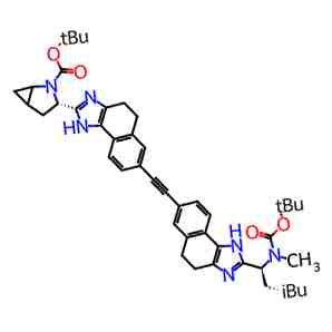 CC[C@@H](C)C[C@@H](c1nc2c([nH]1)-c1ccc(C#Cc3ccc4c(c3)CCc3nc([C@@H]5CC6CC6N5C(=O)OC(C)(C)C)[nH]c3-4)cc1CC2)N(C)C(=O)OC(C)(C)C